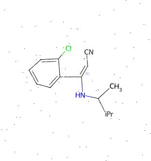 CC(C)C(C)N/C(=C/C#N)c1ccccc1Cl